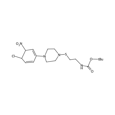 CC(C)(C)OC(=O)NCCSN1CCN(C2=CC([N+](=O)[O-])C(Cl)C=C2)CC1